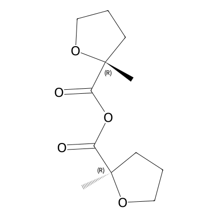 C[C@]1(C(=O)OC(=O)[C@@]2(C)CCCO2)CCCO1